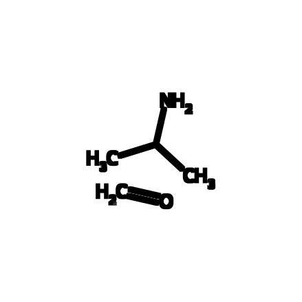 C=O.CC(C)N